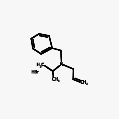 Br.C=CCN(Cc1ccccc1)C(C)C